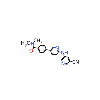 CN(C)C(=O)c1ccc(-c2ccc(Nc3cncc(C#N)c3)nc2)cc1